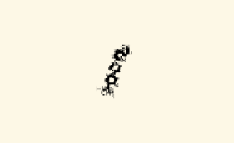 CNC(=O)c1ccc(N2CCN(c3ccc4sccc4n3)CC2)cc1